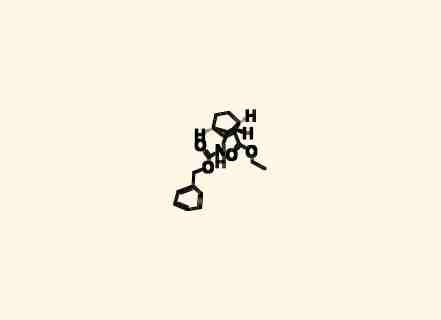 CCOC(=O)[C@@H]1C(NC(=O)OCc2ccccc2)[C@H]2C=C[C@@H]1CC2